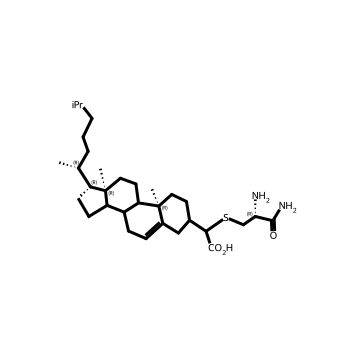 CC(C)CCC[C@@H](C)[C@H]1CCC2C3CC=C4CC(C(SC[C@H](N)C(N)=O)C(=O)O)CC[C@]4(C)C3CC[C@@]21C